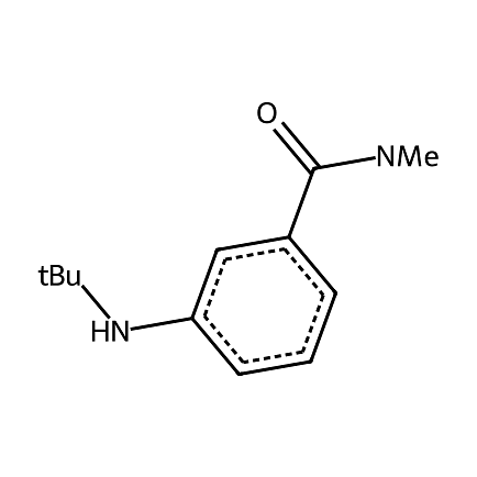 CNC(=O)c1cccc(NC(C)(C)C)c1